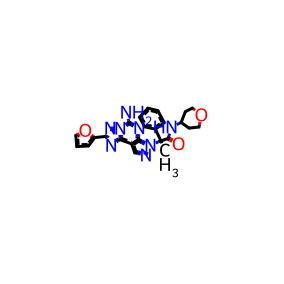 CC(C(=O)NC1CCOCC1)(c1ccccc1)n1ncc2c1nc(N)n1nc(-c3ccco3)nc21